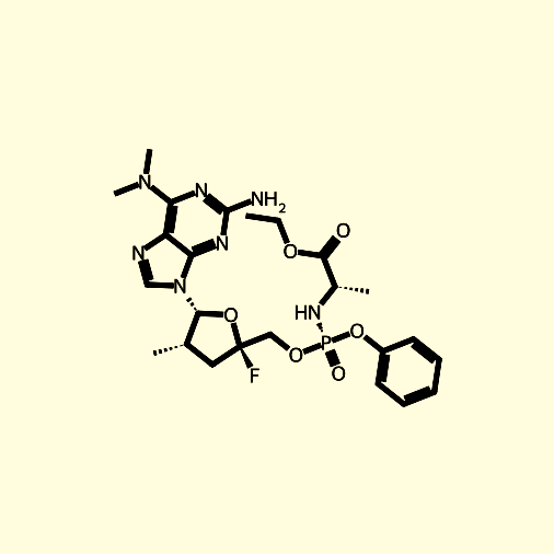 CCOC(=O)[C@H](C)N[P@](=O)(OC[C@]1(F)C[C@H](C)[C@H](n2cnc3c(N(C)C)nc(N)nc32)O1)Oc1ccccc1